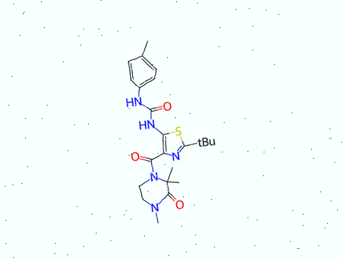 Cc1ccc(NC(=O)Nc2sc(C(C)(C)C)nc2C(=O)N2CCN(C)C(=O)C2(C)C)cc1